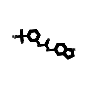 O=C(Nc1cccc(S(=O)(=O)C(F)(F)F)c1)Nc1ccc2[nH]ccc2c1